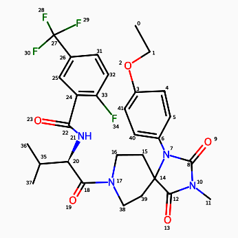 CCOc1ccc(N2C(=O)N(C)C(=O)C23CCN(C(=O)[C@H](NC(=O)c2cc(C(F)(F)F)ccc2F)C(C)C)CC3)cc1